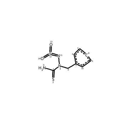 NC(=S)N(Cc1ccccc1)N=S(=O)=O